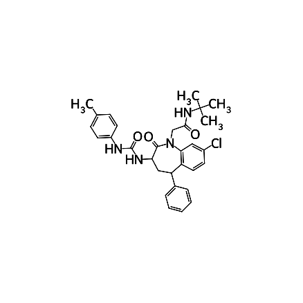 Cc1ccc(NC(=O)NC2CC(c3ccccc3)c3ccc(Cl)cc3N(CC(=O)NC(C)(C)C)C2=O)cc1